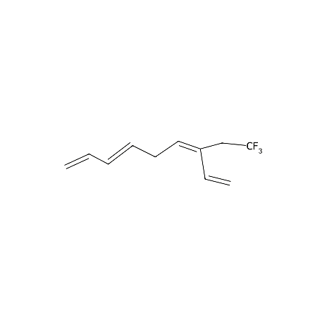 C=CC=CC/C=C(\C=C)CC(F)(F)F